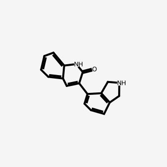 O=c1[nH]c2ccccc2cc1-c1cccc2c1CNC2